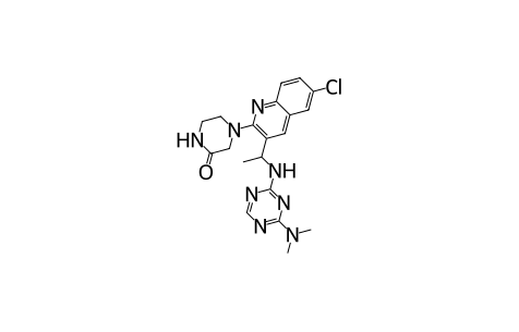 CC(Nc1ncnc(N(C)C)n1)c1cc2cc(Cl)ccc2nc1N1CCNC(=O)C1